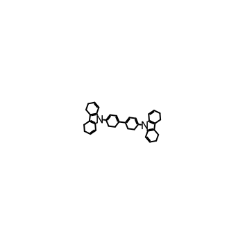 C1=Cc2c(c3c(n2C2=CC=C(C4=CC=C(n5c6c(c7c5C=CCC7)CCC=C6)CC4)CC2)C=CCC3)CC1